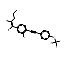 CCC/C(F)=C(/F)c1ccc(C#Cc2ccc(OC(F)(F)F)cc2)c(F)c1